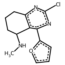 CNC1CCCc2nc(Cl)nc(-c3ccco3)c21